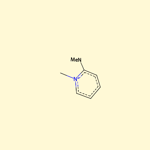 CNc1cccc[n+]1C